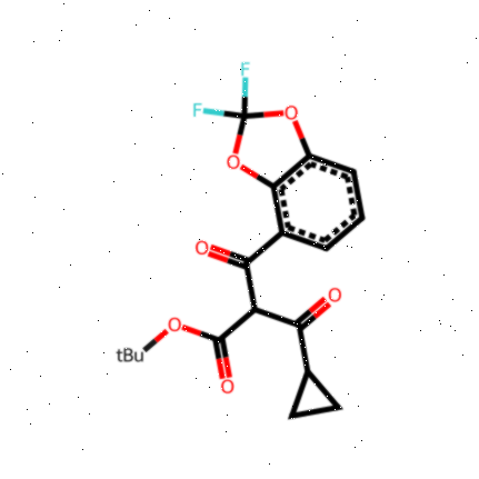 CC(C)(C)OC(=O)C(C(=O)c1cccc2c1OC(F)(F)O2)C(=O)C1CC1